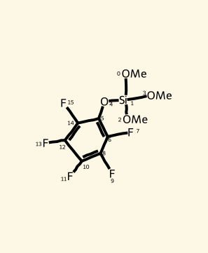 CO[Si](OC)(OC)Oc1c(F)c(F)c(F)c(F)c1F